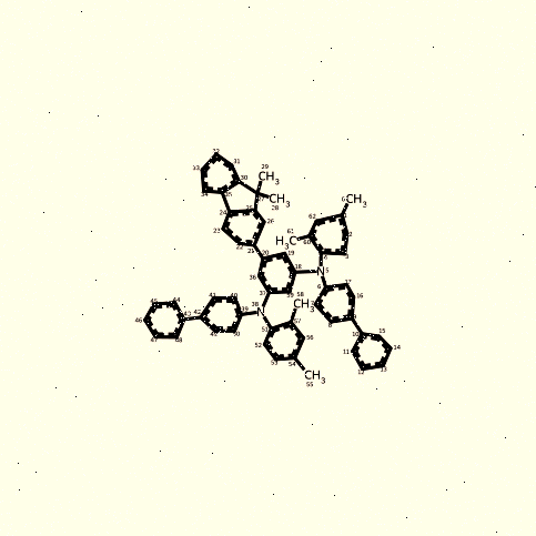 Cc1ccc(N(c2ccc(-c3ccccc3)cc2)c2cc(-c3ccc4c(c3)C(C)(C)c3ccccc3-4)cc(N(c3ccc(-c4ccccc4)cc3)c3ccc(C)cc3C)c2)c(C)c1